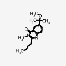 CCCCc1nc2ccc(C(C)(C)OC)cc2c(=O)n1C